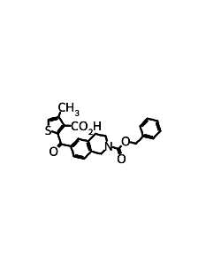 Cc1csc(C(=O)c2ccc3c(c2)CCN(C(=O)OCc2ccccc2)C3)c1C(=O)O